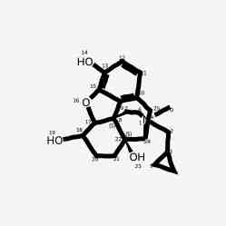 C[N+]1(CC2CC2)CC[C@]23c4c5ccc(O)c4OC2C(O)CC[C@@]3(O)C1C5